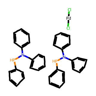 [Cl][Pd][Cl].c1ccc(PN(c2ccccc2)c2ccccc2)cc1.c1ccc(PN(c2ccccc2)c2ccccc2)cc1